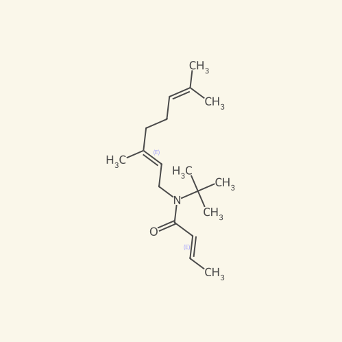 C/C=C/C(=O)N(C/C=C(\C)CCC=C(C)C)C(C)(C)C